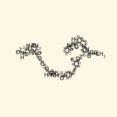 C=C1CN(C2CCC(=O)NC2=O)C/C1=C(/C=C\C)NC(=O)COCCOCCOCC1=CN(CCCC(=O)N2CCN(CC#Cc3ccc(OCCCc4sc(N5CCc6cccc(C(=O)Nc7nc8ccccc8s7)c6C5)nc4C(=O)OCOC)c(F)c3)CC2)NN1